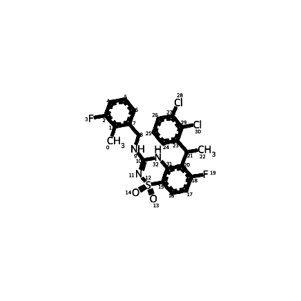 Cc1c(F)cccc1CNC1=NS(=O)(=O)c2ccc(F)c(C(C)c3cccc(Cl)c3Cl)c2N1